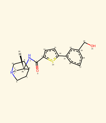 O=C(N[C@H]1CN2CCC1CC2)c1ccc(-c2cccc(CO)c2)s1